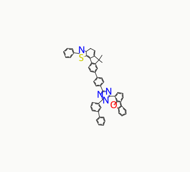 CC1(C)C2=CCC3N=C(c4ccccc4)SC3=C2c2ccc(-c3ccc(-c4nc(-c5cccc(-c6ccccc6)c5)nc(-c5cccc6c5oc5ccccc56)n4)cc3)cc21